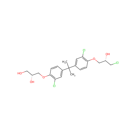 CC(C)(c1ccc(OC[C@H](O)CO)c(Cl)c1)c1ccc(OC[C@H](O)CCl)c(Cl)c1